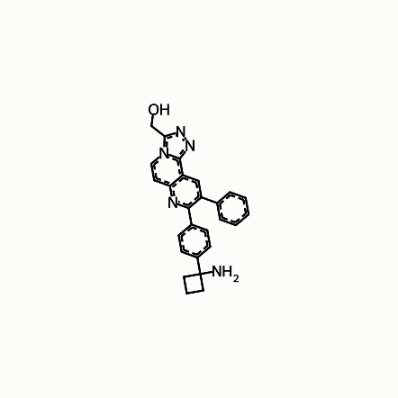 NC1(c2ccc(-c3nc4ccn5c(CO)nnc5c4cc3-c3ccccc3)cc2)CCC1